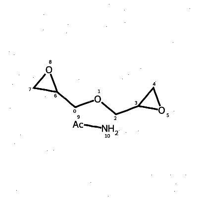 C(OCC1CO1)C1CO1.CC(N)=O